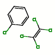 ClC(Cl)=C(Cl)Cl.Clc1ccccc1